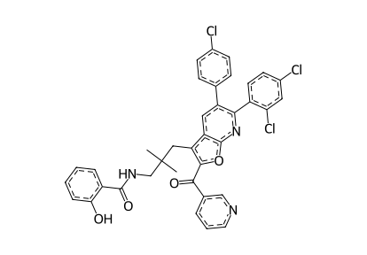 CC(C)(CNC(=O)c1ccccc1O)Cc1c(C(=O)c2cccnc2)oc2nc(-c3ccc(Cl)cc3Cl)c(-c3ccc(Cl)cc3)cc12